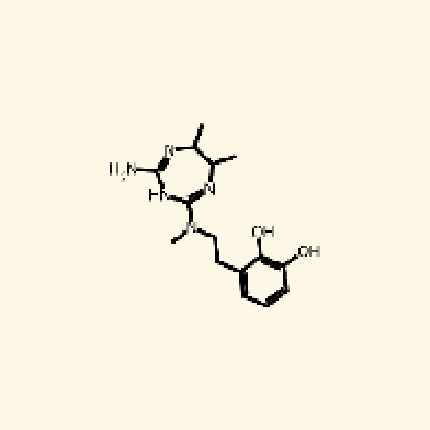 CC1N=C(N)NC(N(C)CCc2cccc(O)c2O)=NC1C